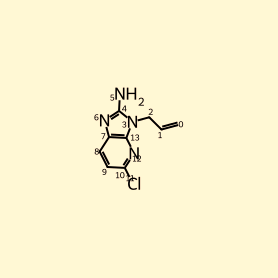 C=CCn1c(N)nc2ccc(Cl)nc21